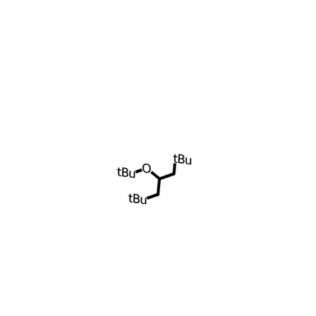 CC(C)(C)CC(CC(C)(C)C)OC(C)(C)C